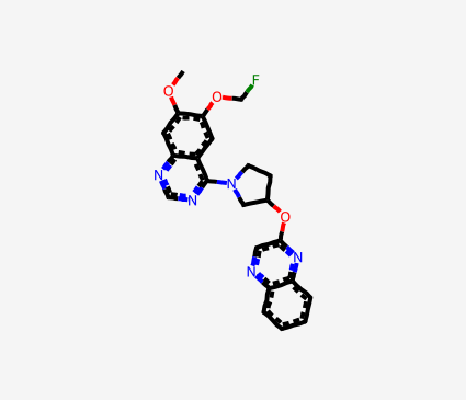 COc1cc2ncnc(N3CCC(Oc4cnc5ccccc5n4)C3)c2cc1OCF